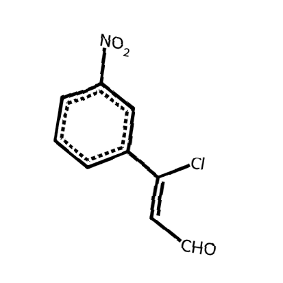 O=CC=C(Cl)c1cccc([N+](=O)[O-])c1